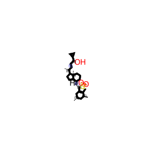 C[C@@H]1CC2=C(CS(=O)(=O)[C@H]2/C=C2\CCC[C@]3(C)C([C@H](C)/C=C/[C@@H](O)C4CC4)CC[C@@H]23)[C@@H](C)C1